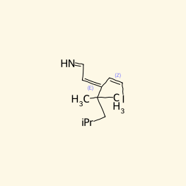 CC(C)CC(C)(C)C(/C=C\I)=C/C=N